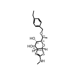 CCc1ccc(CO[C@@H](C)[C@H]2O[C@@H]3SC(NC)=N[C@@H]3[C@@H](O)[C@@H]2O)cc1